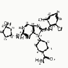 NC(=O)[C@H]1CC[C@@H](n2c(Nc3c(Cl)cccc3Cl)nc3cnc(N[C@@H]4CC[C@@H](O)C4)nc32)CC1